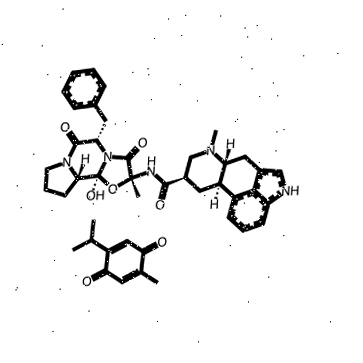 CC1=CC(=O)C(C(C)C)=CC1=O.CN1C[C@H](C(=O)N[C@]2(C)O[C@@]3(O)[C@@H]4CCCN4C(=O)[C@H](Cc4ccccc4)N3C2=O)C[C@@H]2c3cccc4[nH]cc(c34)C[C@H]21